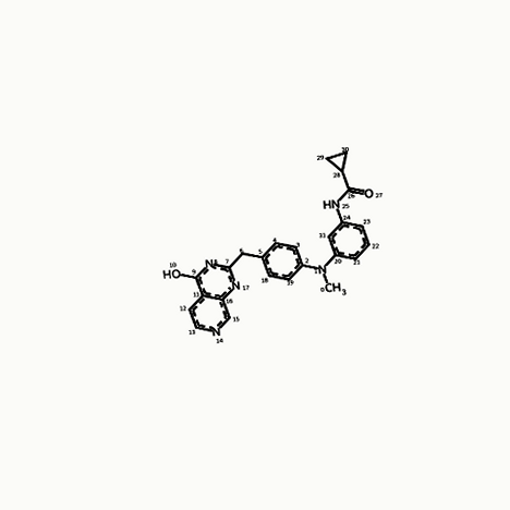 CN(c1ccc(Cc2nc(O)c3ccncc3n2)cc1)c1cccc(NC(=O)C2CC2)c1